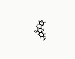 COc1ccc2c(=O)n(C)c(-c3ccncc3)nc2c1